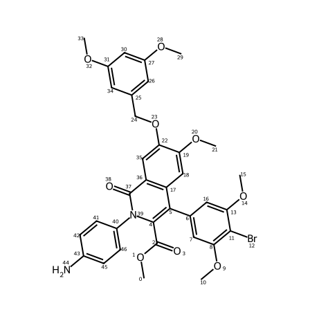 COC(=O)c1c(-c2cc(OC)c(Br)c(OC)c2)c2cc(OC)c(OCc3cc(OC)cc(OC)c3)cc2c(=O)n1-c1ccc(N)cc1